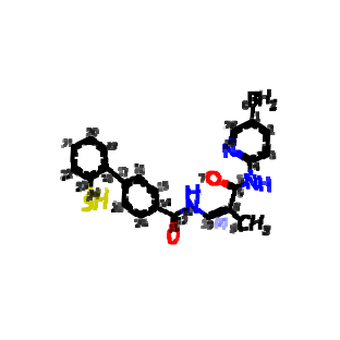 Bc1ccc(NC(=O)/C(C)=C\NC(=O)c2ccc(-c3ccccc3S)cc2)nc1